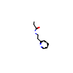 O=C(O)CC(=O)NCCc1ccccn1